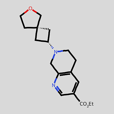 CCOC(=O)c1cnc2c(c1)CCN([C@H]1C[C@@]3(CCOC3)C1)C2